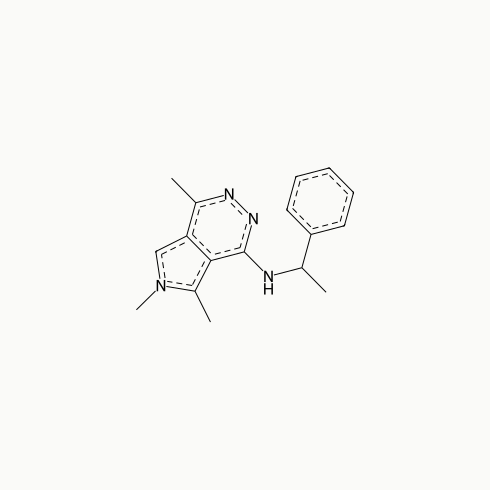 Cc1nnc(NC(C)c2ccccc2)c2c(C)n(C)cc12